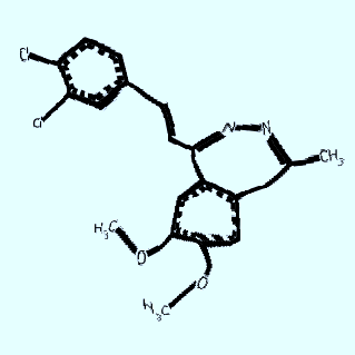 COc1cc2c(cc1OC)C(C=Cc1ccc(Cl)c(Cl)c1)=NN=C(C)C2